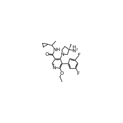 CCOc1ncc(C(=O)NC(C)C2CC2)c(N2CC[C@](C)(N)C2)c1-c1cc(F)cc(F)c1